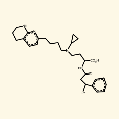 CCC(CC(=O)N[C@@H](CCN(CCCCc1ccc2c(n1)NCCC2)C1CC1)C(=O)O)c1ccccc1